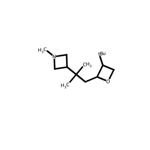 CN1CC(C(C)(C)CC2OCC2C(C)(C)C)C1